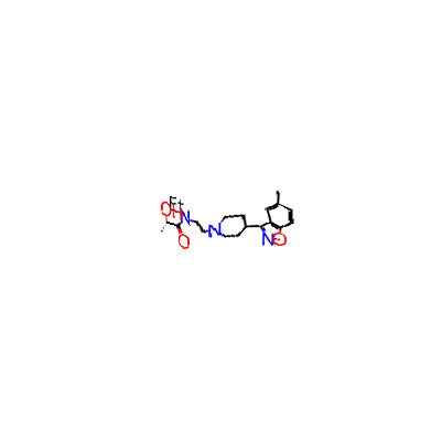 CCN(CCN1CCC(c2noc3ccc(C)cc23)CC1)C(=O)[C@H](C)O